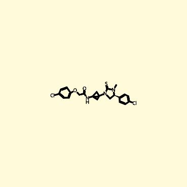 CN1C(=S)N(C23CC(NC(=O)COc4ccc(Cl)cc4)(C2)C3)C[C@@H]1c1ccc(Cl)cc1